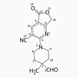 CC1(C=O)CCN(c2nc3c(cc2C#N)C(=O)OC3)CC1